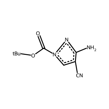 CC(C)(C)OC(=O)n1cc(C#N)c(N)n1